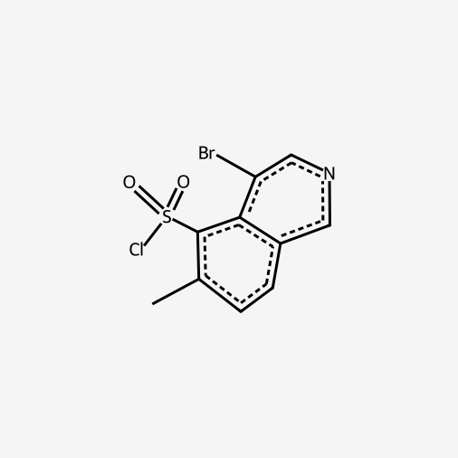 Cc1ccc2cncc(Br)c2c1S(=O)(=O)Cl